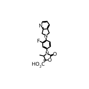 CC1[C@H](C(=O)O)OC(=O)N1c1ccc(N2Cc3cccnc3C2)c(F)c1